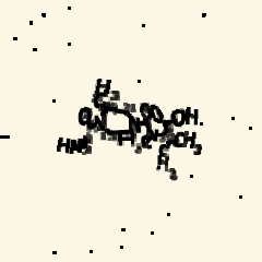 CC(C)[C@@H](C(=O)O)N(C)C(=O)N1CCN(C(=O)[C@@H]2CN2)[C@H](C)C1